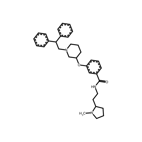 CN1CCCC1CCNC(=O)c1cccc(OC2CCCN(CC(c3ccccc3)c3ccccc3)C2)c1